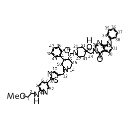 COCCNc1ccc(-c2ncc(CN3CC[C@@H](C(=O)N4CCC(O)(Cn5cnc6c(ccn6-c6ccccc6)c5=O)CC4)[C@H](c4ccccc4)C3)s2)cn1